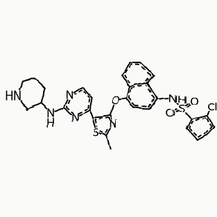 Cc1nc(Oc2ccc(NS(=O)(=O)c3ccccc3Cl)c3ccccc23)c(-c2ccnc(NC3CCCNC3)n2)s1